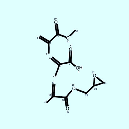 C=C(C)C(=O)O.C=C(C)C(=O)OC.C=C(C)C(=O)OCC1CO1